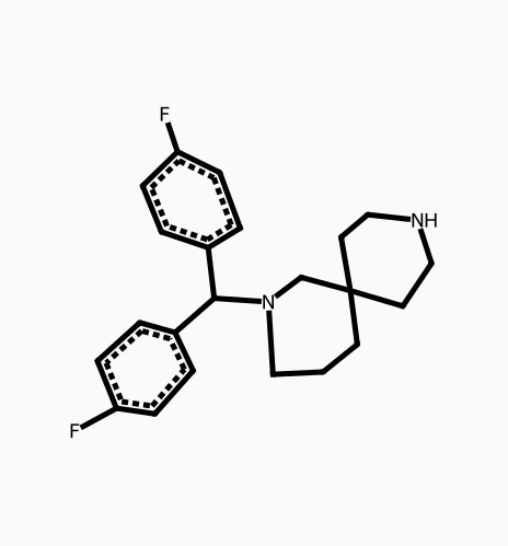 Fc1ccc(C(c2ccc(F)cc2)N2CCCC3(CCNCC3)C2)cc1